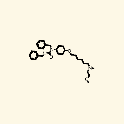 COCCN(C)CCCCCCO[C@H]1CC[C@H](N(Cc2ccccc2)C(=O)OCc2ccccc2)CC1